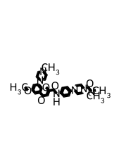 COc1cc(N2CCN(C)CC2)c2oc(C(=O)Nc3ccc(N4CCN(C(=O)N(C)C)CC4)cc3)cc(=O)c2c1